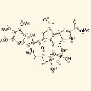 COC(=O)c1cc2c3c(cc(OP(=O)(O)OP(=O)(O)OCCN)c2[nH]1)N(C(=O)c1cc2cc(OC)c(OC)c(OC)c2[nH]1)CC3CCl